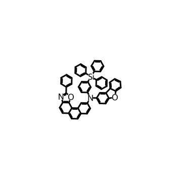 c1ccc(-c2nc3ccc4ccc5ccc(N(c6cccc([Si](c7ccccc7)(c7ccccc7)c7ccccc7)c6)c6ccc7oc8ccccc8c7c6)cc5c4c3o2)cc1